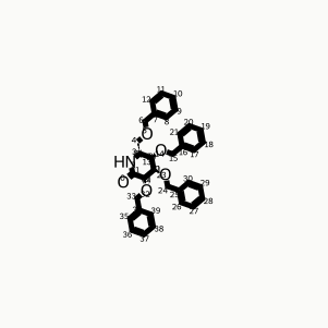 O=C1N[C@H](COCc2ccccc2)[C@@H](OCc2ccccc2)[C@H](OCc2ccccc2)[C@@H]1OCc1ccccc1